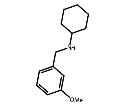 COc1cccc(CNC2CCCCC2)c1